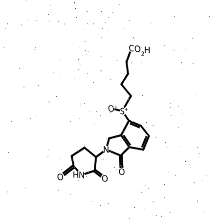 O=C(O)CCCC[S+]([O-])c1cccc2c1CN(C1CCC(=O)NC1=O)C2=O